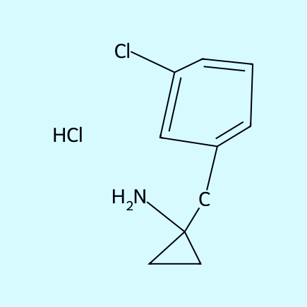 Cl.NC1(Cc2cccc(Cl)c2)CC1